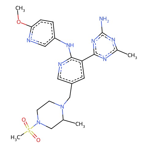 COc1ccc(Nc2ncc(CN3CCN(S(C)(=O)=O)CC3C)cc2-c2nc(C)nc(N)n2)cn1